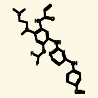 C=CC(=O)Nc1cc(Nc2nccc(Nc3ccc(OC)cc3)n2)c(OC(F)F)cc1N(C)CCN(C)C